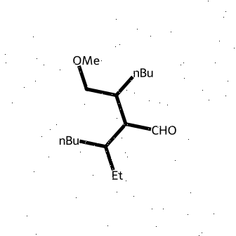 CCCCC(CC)C(C=O)C(CCCC)COC